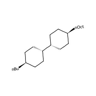 CCCCCCCC[C@H]1CC[C@H]([C@H]2CC[C@H](CCCC)CC2)CC1